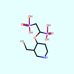 O=P(O)(O)CC(OC1CCNCC1CS)P(=O)(O)O